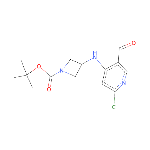 CC(C)(C)OC(=O)N1CC(Nc2cc(Cl)ncc2C=O)C1